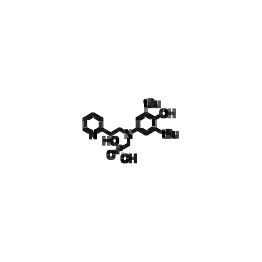 CC(C)(C)c1cc(N(CCc2ccccn2)CP(=O)(O)O)cc(C(C)(C)C)c1O